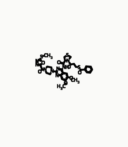 COc1cc2nc(N3CCN(C(=O)c4nnc(SC)o4)CC3)nc(NC(=O)C3CSCN3C(=O)CCSC(=O)c3ccccc3)c2cc1OC